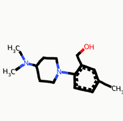 Cc1ccc(N2CCC(N(C)C)CC2)c(CO)c1